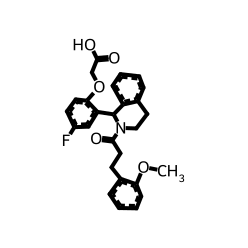 COc1ccccc1CCC(=O)N1CCc2ccccc2C1c1cc(F)ccc1OCC(=O)O